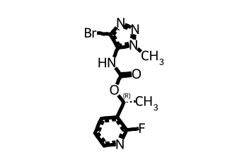 C[C@@H](OC(=O)Nc1c(Br)nnn1C)c1cccnc1F